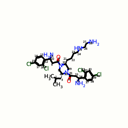 CC(C)C[C@@H]1CN(C(=O)CC(N)c2ccc(Cl)cc2Cl)[C@@H](CCCCNCCN)CN1C(=O)CC(N)c1ccc(Cl)cc1Cl